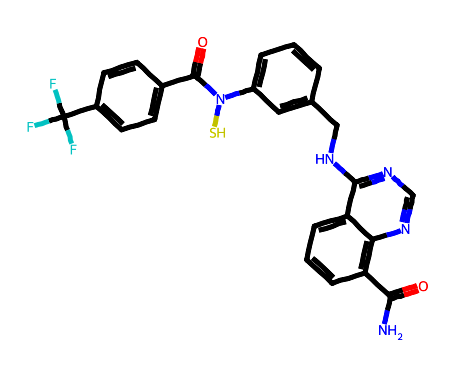 NC(=O)c1cccc2c(NCc3cccc(N(S)C(=O)c4ccc(C(F)(F)F)cc4)c3)ncnc12